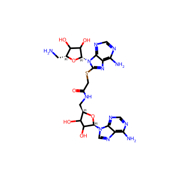 NC[C@H]1O[C@@H](n2c(SCC(=O)NC[C@H]3O[C@@H](n4cnc5c(N)ncnc54)C(O)C3O)nc3c(N)ncnc32)C(O)C1O